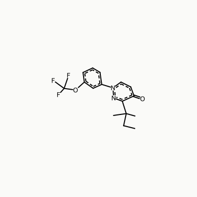 CCC(C)(C)c1nn(-c2cccc(OC(F)(F)F)c2)ccc1=O